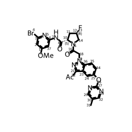 COc1cc(Br)nc(NC(=O)[C@@H]2C[C@@H](F)CN2C(=O)Cn2nc(C(C)=O)c3cc(Oc4ncc(C)cn4)ccc32)c1